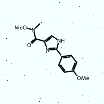 COc1ccc(-c2nc(C(=O)N(C)OC)c[nH]2)cc1